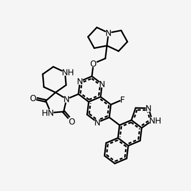 O=C1NC(=O)C2(CCCNC2)N1c1nc(OCC23CCCN2CCC3)nc2c(F)c(-c3c4ccccc4cc4[nH]ncc34)ncc12